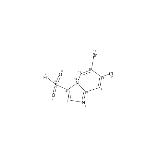 CCS(=O)(=O)c1cnc2cc(Cl)c(Br)cn12